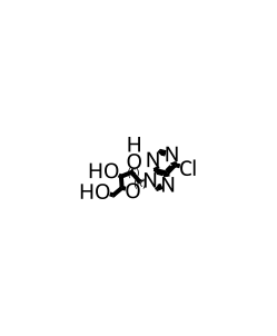 OCC1O[C@@H](n2cnc3c(Cl)ncnc32)[C@@H](O)C1O